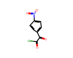 O=C(Cl)C(=O)c1ccc([N+](=O)[O-])cc1